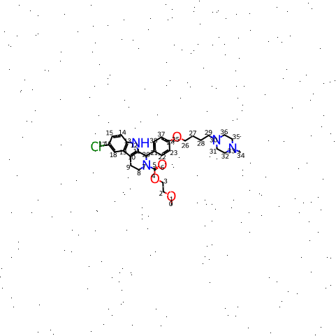 COCCOC(=O)N1CCc2c([nH]c3ccc(Cl)cc23)C1c1ccc(OCCCCN2CCN(C)CC2)cc1